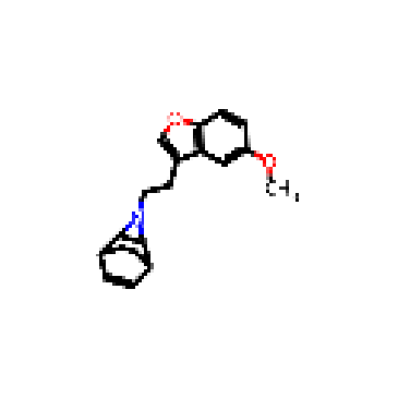 COc1ccc2occ(CCN3C4C5C=CC(CC5)C43)c2c1